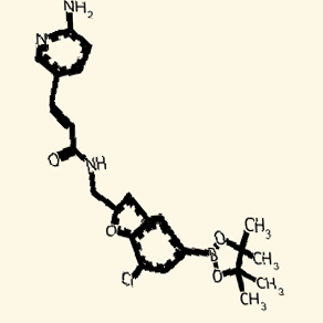 CC1(C)OB(c2cc(Cl)c3oc(CNC(=O)C=Cc4ccc(N)nc4)cc3c2)OC1(C)C